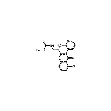 Cc1ncccc1-n1c(CCNC(=O)OC(C)(C)C)nc2cccc(Cl)c2c1=O